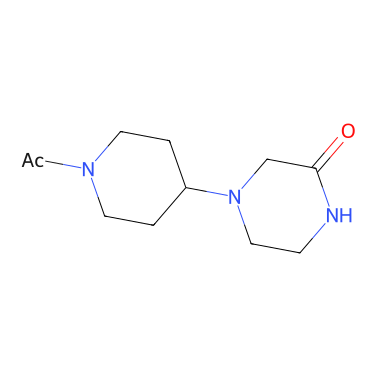 CC(=O)N1CCC(N2CCNC(=O)C2)CC1